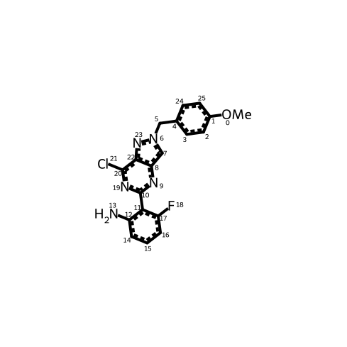 COc1ccc(Cn2cc3nc(-c4c(N)cccc4F)nc(Cl)c3n2)cc1